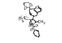 Cc1nn(S(=O)(=O)c2ccccc2)c(C)c1-c1cc(C2OCCCO2)c2occc2c1